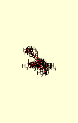 CC[C@@H](C)[C@@H]([C@@H](CC(=O)N1CCC[C@H]1[C@H](OC)[C@@H](C)C(=O)N[C@H](C)[C@@H](O)c1ccccc1)OC)N(C)C(=O)[C@@H](NC(=O)[C@H](C(C)C)N(C)C(=O)OCc1ccc(NC(=O)[C@H](CCCNC(N)=O)NC(=O)[C@@H](NC(=O)CCOCCOCCOCCOCCOCCOCCNC(=O)CNC(=O)CCn2c(CN(C)NC)cc3ccccc32)C(C)C)cc1)C(C)C